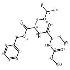 CC(C)C[C@H](NC(=O)OC(C)(C)C)C(=O)N[C@@H](COC(F)F)C(=O)OCc1ccccc1